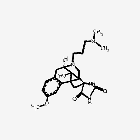 COc1ccc2c(c1)C13CCN(CCCN(C)C)[C@H](C2)[C@]1(O)CC[C@@]1(C3)NC(=O)NC1=O